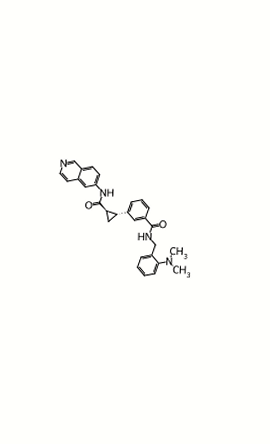 CN(C)c1ccccc1CNC(=O)c1cccc([C@@H]2C[C@H]2C(=O)Nc2ccc3cnccc3c2)c1